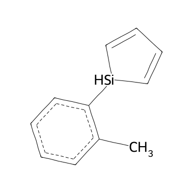 Cc1ccccc1[SiH]1C=CC=C1